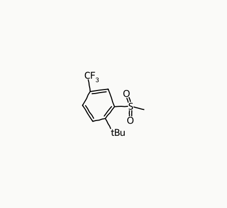 CC(C)(C)c1ccc(C(F)(F)F)cc1S(C)(=O)=O